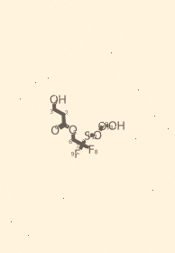 O=C(CCO)OCC(F)(F)SOOO